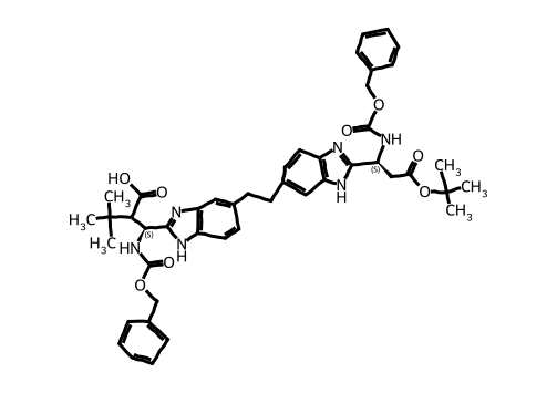 CC(C)(C)OC(=O)C[C@H](NC(=O)OCc1ccccc1)c1nc2ccc(CCc3ccc4[nH]c([C@@H](NC(=O)OCc5ccccc5)C(C(=O)O)C(C)(C)C)nc4c3)cc2[nH]1